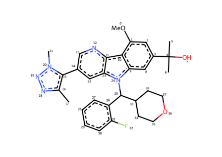 COc1cc(C(C)(C)O)cc2c1c1ncc(-c3c(C)nnn3C)cc1n2C(c1ccccc1F)C1CCOCC1